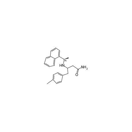 Cc1ccc(CC(CC(N)=O)N[C@H](C)c2cccc3ccccc23)cc1